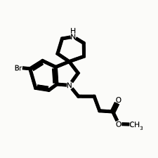 COC(=O)CCCN1CC2(CCNCC2)c2cc(Br)ccc21